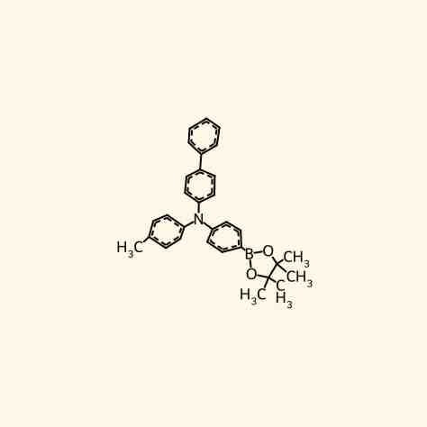 Cc1ccc(N(c2ccc(B3OC(C)(C)C(C)(C)O3)cc2)c2ccc(-c3ccccc3)cc2)cc1